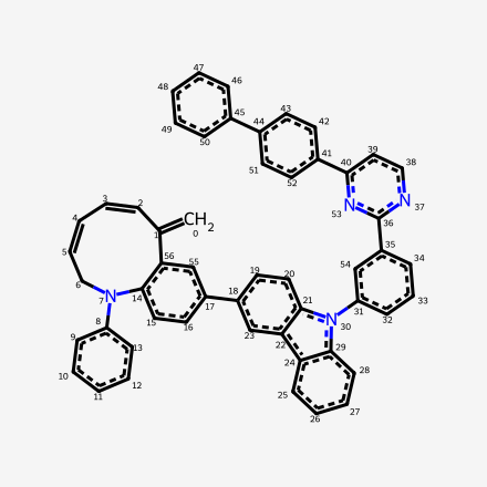 C=C1/C=C\C=C/CN(c2ccccc2)c2ccc(-c3ccc4c(c3)c3ccccc3n4-c3cccc(-c4nccc(-c5ccc(-c6ccccc6)cc5)n4)c3)cc21